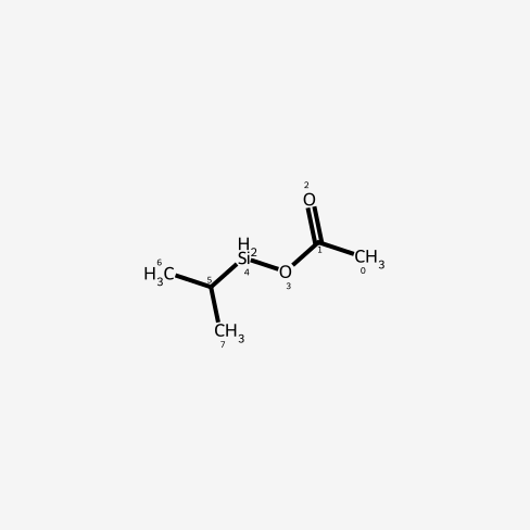 CC(=O)O[SiH2]C(C)C